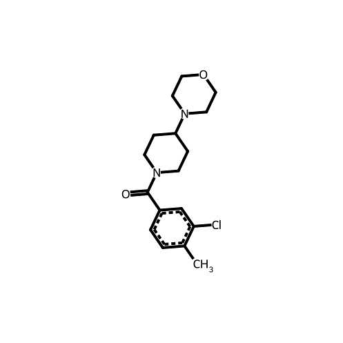 Cc1ccc(C(=O)N2CCC(N3CCOCC3)CC2)cc1Cl